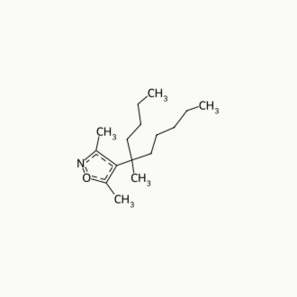 CCCCCC(C)(CCCC)c1c(C)noc1C